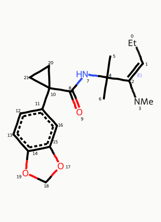 CC/C=C(/NC)C(C)(C)NC(=O)C1(c2ccc3c(c2)OCO3)CC1